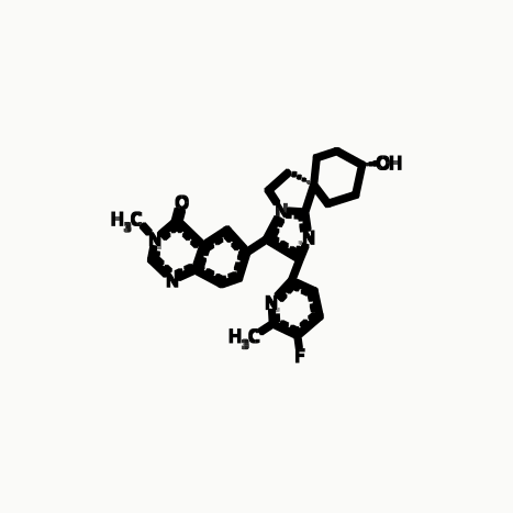 Cc1nc(-c2nc3n(c2-c2ccc4ncn(C)c(=O)c4c2)CC[C@]32CC[C@@H](O)CC2)ccc1F